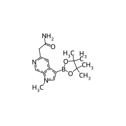 Cn1cc(B2OC(C)(C)C(C)(C)O2)c2cc(CC(N)=O)ncc21